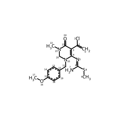 C=C(Cl)C1=C(/N=C(\N)SC)N(Cc2ccc(OC)cc2)CN(C)C1=O